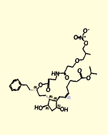 CC(COCCC(=O)NCCC(=O)O[C@@H](CCc1ccccc1)CC[C@@H]1[C@@H](C/C=C\CCCC(=O)OC(C)C)[C@@H](O)C[C@H]1O)CO[N+](=O)[O-]